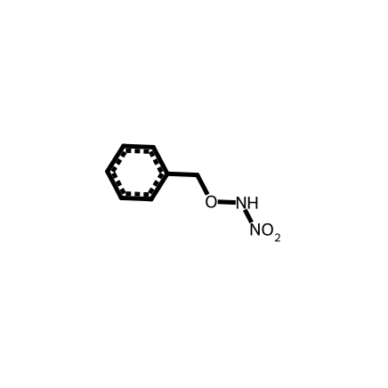 O=[N+]([O-])NOCc1ccccc1